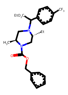 CCOC(=O)C(c1ccc(C(F)(F)F)cc1)N1C[C@H](C)N(C(=O)OCc2ccccc2)C[C@H]1CC